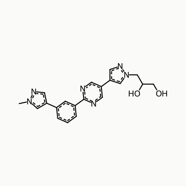 Cn1cc(-c2cccc(-c3ncc(-c4cnn(CC(O)CO)c4)cn3)c2)cn1